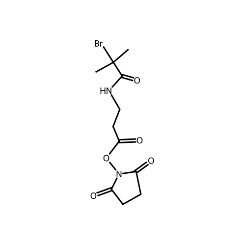 CC(C)(Br)C(=O)NCCC(=O)ON1C(=O)CCC1=O